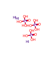 I.I.I.O=P(O)(O)O.O=P(O)(O)O.O=P(O)(O)O